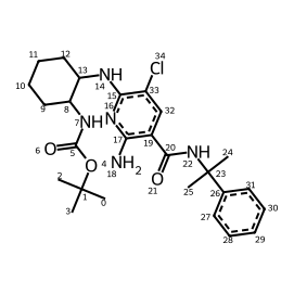 CC(C)(C)OC(=O)NC1CCCCC1Nc1nc(N)c(C(=O)NC(C)(C)c2ccccc2)cc1Cl